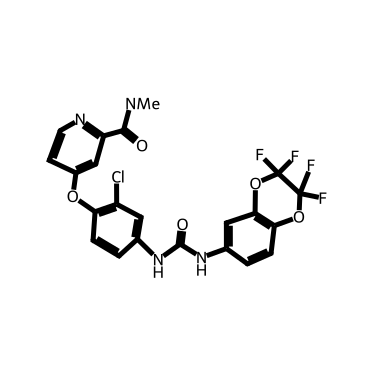 CNC(=O)c1cc(Oc2ccc(NC(=O)Nc3ccc4c(c3)OC(F)(F)C(F)(F)O4)cc2Cl)ccn1